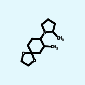 CC1CC2(CCC1N1CCCC1C)OCCO2